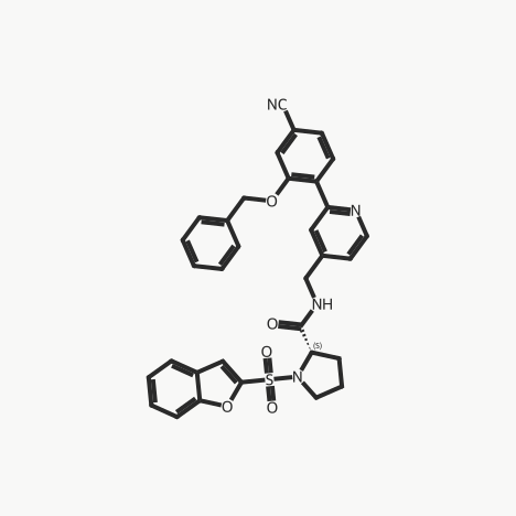 N#Cc1ccc(-c2cc(CNC(=O)[C@@H]3CCCN3S(=O)(=O)c3cc4ccccc4o3)ccn2)c(OCc2ccccc2)c1